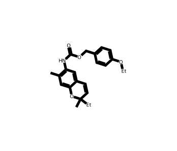 CCOc1ccc(COC(=O)Nc2cc3c(cc2C)OC(C)(CC)C=C3)cc1